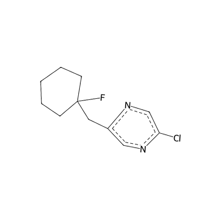 FC1(Cc2cnc(Cl)cn2)CCCCC1